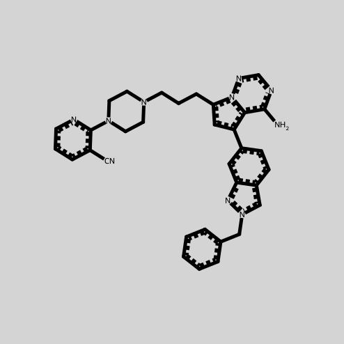 N#Cc1cccnc1N1CCN(CCCc2cc(-c3ccc4cn(Cc5ccccc5)nc4c3)c3c(N)ncnn23)CC1